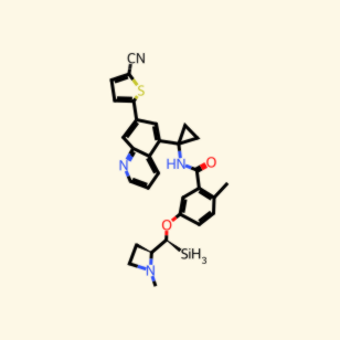 Cc1ccc(O[C@@H]([SiH3])[C@@H]2CCN2C)cc1C(=O)NC1(c2cc(-c3ccc(C#N)s3)cc3ncccc23)CC1